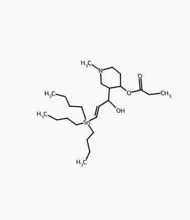 CCC[CH2][Sn]([CH]=CC(O)C1CN(C)CCC1OC(=O)CC)([CH2]CCC)[CH2]CCC